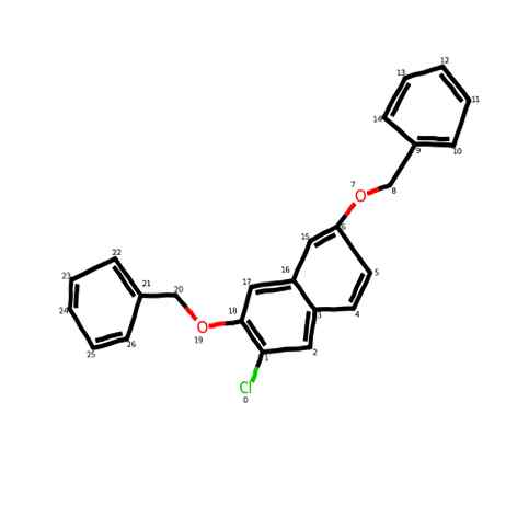 Clc1cc2ccc(OCc3ccccc3)cc2cc1OCc1ccccc1